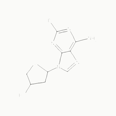 Nc1nc(F)nc2c1ncn2C1CC(O)CO1